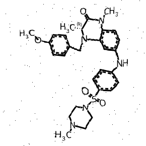 COc1ccc(CN2c3cc(Nc4ccc(S(=O)(=O)N5CCN(C)CC5)cc4)ccc3N(C)C(=O)[C@H]2C)cc1